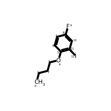 CCCCOc1ccc(F)cc1I